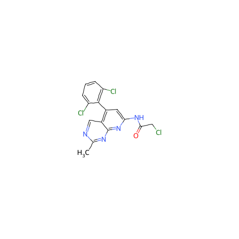 Cc1ncc2c(-c3c(Cl)cccc3Cl)cc(NC(=O)CCl)nc2n1